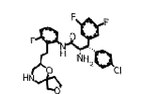 N[C@H](C(=O)Nc1cccc(F)c1CC[C@@H]1CNCC2(CCOC2)O1)[C@@H](c1ccc(Cl)cc1)c1cc(F)cc(F)c1